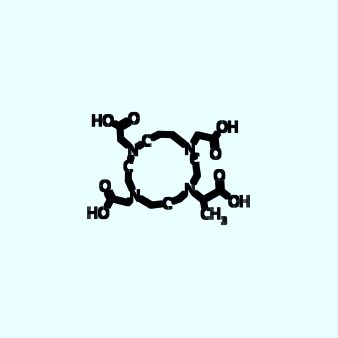 CC(C(=O)O)N1CCCN(CC(=O)O)CCN(CC(=O)O)CCCN(CC(=O)O)CC1